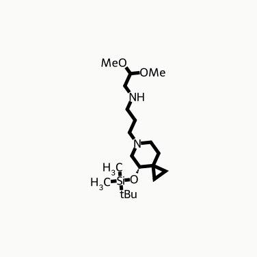 COC(CNCCCN1CCC2(CC2)[C@H](O[Si](C)(C)C(C)(C)C)C1)OC